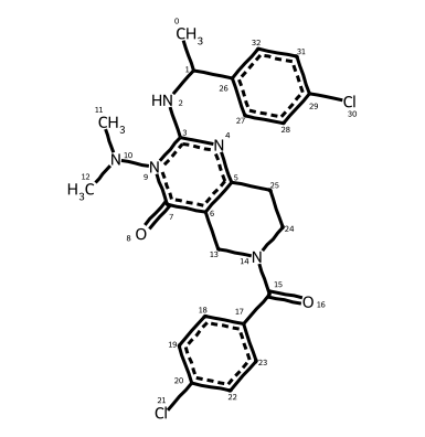 CC(Nc1nc2c(c(=O)n1N(C)C)CN(C(=O)c1ccc(Cl)cc1)CC2)c1ccc(Cl)cc1